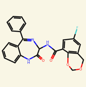 O=C(NC1N=C(c2ccccc2)c2ccccc2NC1=O)c1cc(F)cc2c1OCOC2